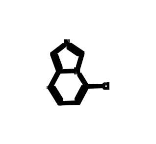 Clc1cc[c]c2cncn12